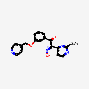 CSc1nccc(/C(=N\O)C(=O)c2cccc(OCc3ccncc3)c2)n1